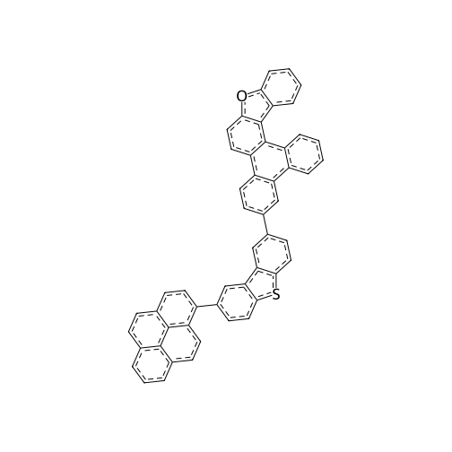 c1cc2ccc3ccc(-c4ccc5sc6ccc(-c7ccc8c(c7)c7ccccc7c7c8ccc8oc9ccccc9c87)cc6c5c4)c4ccc(c1)c2c34